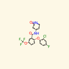 O=C(Nc1cc[nH]c(=O)c1)c1cc(OC(F)(F)F)ccc1Oc1ccc(F)cc1Cl